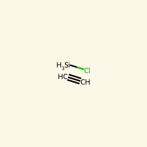 C#C.[SiH3]Cl